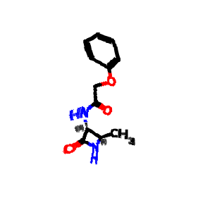 C[C@H]1NC(=O)[C@@H]1NC(=O)COc1ccccc1